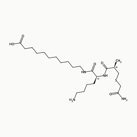 C[C@@H](CSCC(N)=O)C(=O)N[C@@H](CCCCN)C(=O)NCCCCCCCCCCC(=O)O